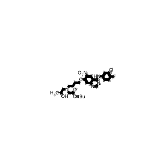 C[C@H](O)CN(CCCCOc1cc2ncnc(Nc3ccc(F)c(Cl)c3)c2cc1[N+](=O)[O-])CC(=O)OC(C)(C)C